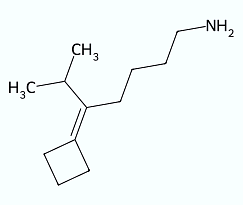 CC(C)C(CCCCN)=C1CCC1